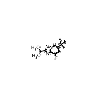 CC(C)c1nc2c(F)cc(C(F)(F)F)cn2n1